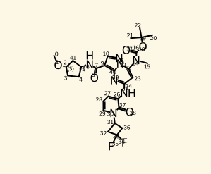 CO[C@H]1CC[C@H](NC(=O)c2cnn3c(N(C)C(=O)OC(C)(C)C)cc(Nc4cccn(C5CC(F)(F)C5)c4=O)nc23)C1